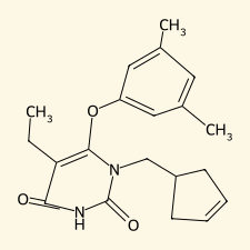 CCc1c(Oc2cc(C)cc(C)c2)n(CC2CC=CC2)c(=O)[nH]c1=O